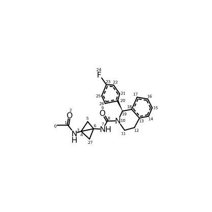 CC(=O)NC12CC1(NC(=O)N1CCc3ccccc3[C@@H]1c1ccc(F)cc1)C2